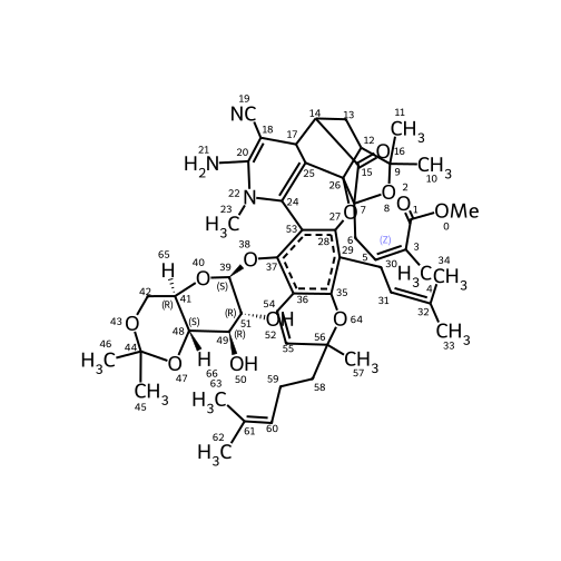 COC(=O)/C(C)=C\CC12OC(C)(C)C3CC(C1=O)C1C(C#N)=C(N)N(C)C4=C1C32Oc1c(CC=C(C)C)c2c(c(O[C@@H]3O[C@@H]5COC(C)(C)O[C@H]5[C@H](O)[C@H]3O)c14)C=CC(C)(CCC=C(C)C)O2